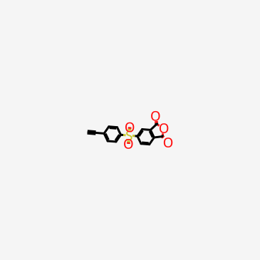 C#Cc1ccc(S(=O)(=O)c2ccc3c(c2)C(=O)OC3=O)cc1